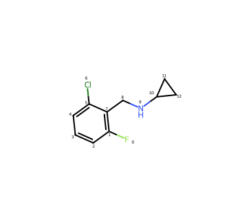 Fc1cccc(Cl)c1CNC1CC1